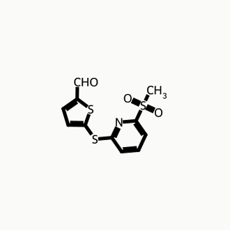 CS(=O)(=O)c1cccc(Sc2ccc(C=O)s2)n1